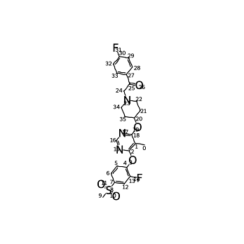 Cc1c(Oc2ccc(S(C)(=O)=O)cc2F)ncnc1OC1CCN(CC(=O)c2ccc(F)cc2)CC1